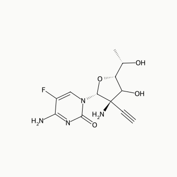 C#C[C@@]1(N)C(O)[C@@H]([C@H](C)O)O[C@H]1n1cc(F)c(N)nc1=O